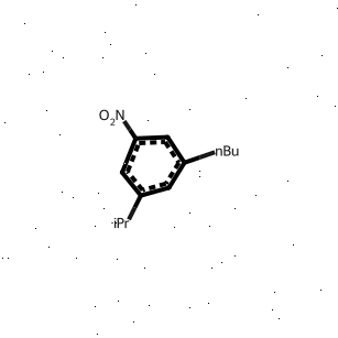 CCCCc1cc([C](C)C)cc([N+](=O)[O-])c1